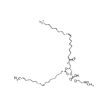 CCCCCCCC/C=C\CCCCCCCC(=O)OCC(COP(=O)(O)OCCNC)OC(=O)CCCCCCC/C=C\CCCCCCCC